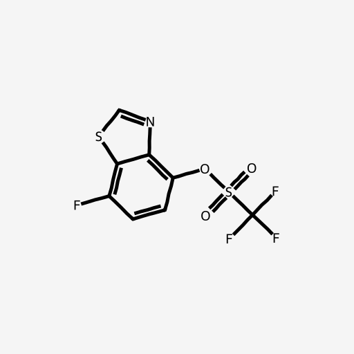 O=S(=O)(Oc1ccc(F)c2scnc12)C(F)(F)F